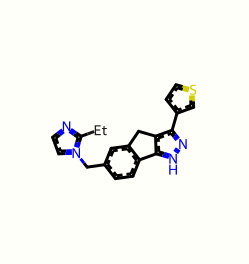 CCc1nccn1Cc1ccc2c(c1)Cc1c(-c3ccsc3)n[nH]c1-2